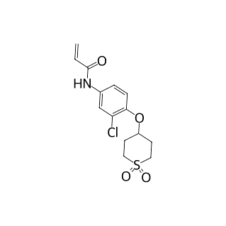 C=CC(=O)Nc1ccc(OC2CCS(=O)(=O)CC2)c(Cl)c1